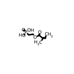 CC=C(C)C(=O)OCCP(=O)(O)O